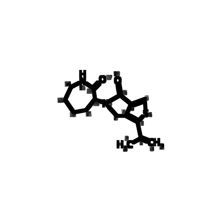 C=C(C)c1scc2c1CN([C@H]1CCCCNC1=O)C2=O